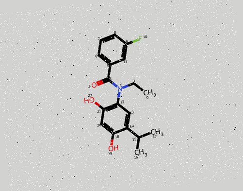 CCN(C(=O)c1cccc(F)c1)c1cc(C(C)C)c(O)cc1O